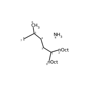 CCCCCCCC[C](CCCCCCCC)CCC(C)I.N